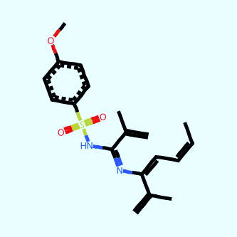 C=C(C)C(=C\C=C/C)/N=C(/NS(=O)(=O)c1ccc(OC)cc1)C(=C)C